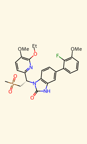 CCOc1nc([C@@H](CS(C)(=O)=O)n2c(=O)[nH]c3cc(-c4cccc(OC)c4F)ccc32)ccc1OC